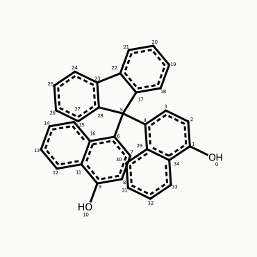 Oc1ccc(C2(c3ccc(O)c4ccccc34)c3ccccc3-c3ccccc32)c2ccccc12